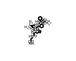 CCC(C)(C)S(=O)(=O)CC1(NC(=O)N[C@H](C(=O)N2CC3[C@@H]([C@H]2C(=O)NC(CC2CCC2)C(=O)C(=O)NCCC(=O)OC(C)(C)C)C3(C)C)C2(C)CCCCC2)CCCCC1